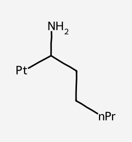 CCCCC[CH](N)[Pt]